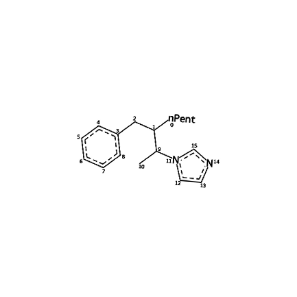 CCCCCC(Cc1ccccc1)C(C)n1ccnc1